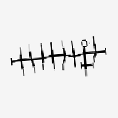 [O]C(C(I)(I)I)(C(I)(I)I)C(I)(I)C(I)(I)C(I)(I)C(I)(I)C(I)(I)C(I)(I)I